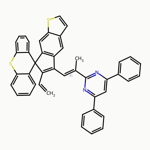 C=CC1=C(/C=C(\C)c2nc(-c3ccccc3)cc(-c3ccccc3)n2)c2cc3ccsc3cc2C12c1ccccc1Sc1ccccc12